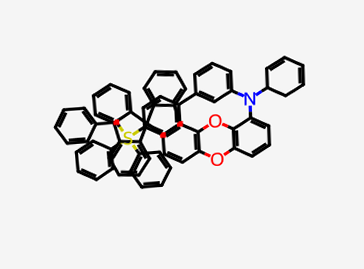 C1=CCC(N(c2cccc(-c3ccc(S(Cc4ccccc4)(c4ccccc4)c4ccccc4)cc3)c2)c2cccc3c2Oc2c(ccc4c2-c2ccccc2C42c4ccccc4-c4ccccc42)O3)C=C1